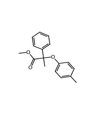 COC(=O)C(C)(Oc1ccc(C)cc1)c1ccccc1